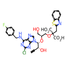 C#C[C@@H](O)[C@@H](O[C@@H](CO)COC(Cc1nc2ccccc2s1)(C(=O)O)C(=O)O)n1cnc2c(NCc3ccc(F)cc3)nc(Cl)nc21